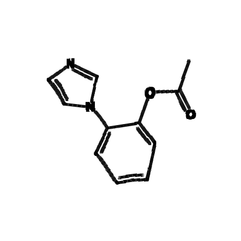 CC(=O)Oc1ccccc1-n1ccnc1